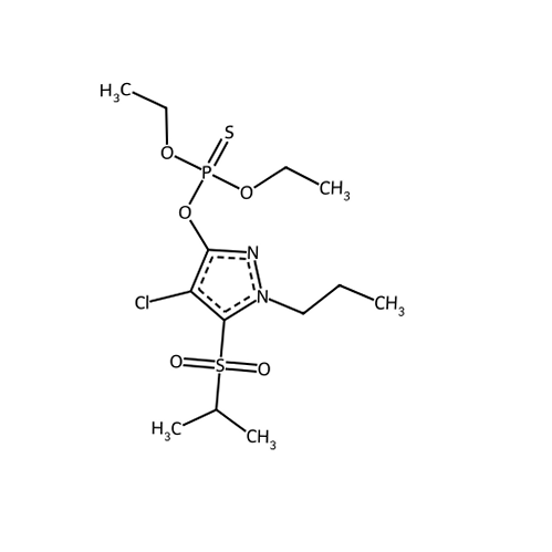 CCCn1nc(OP(=S)(OCC)OCC)c(Cl)c1S(=O)(=O)C(C)C